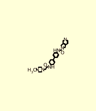 CN1CCN(CC(=O)NC2CC=C(c3ccc(NC(=O)N4Cc5ccncc5C4)cc3)CC2)CC1